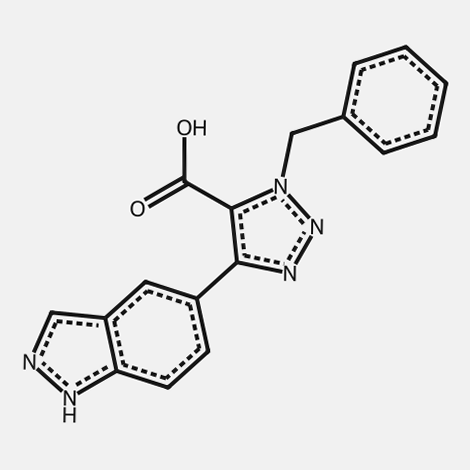 O=C(O)c1c(-c2ccc3[nH]ncc3c2)nnn1Cc1ccccc1